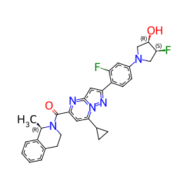 C[C@@H]1c2ccccc2CCN1C(=O)c1cc(C2CC2)n2nc(-c3ccc(N4C[C@@H](O)[C@@H](F)C4)cc3F)cc2n1